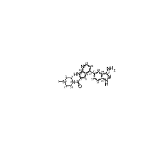 CN1CCN(C(=O)c2cc3c(-c4ccc5[nH]nc(N)c5c4)ccnc3[nH]2)CC1